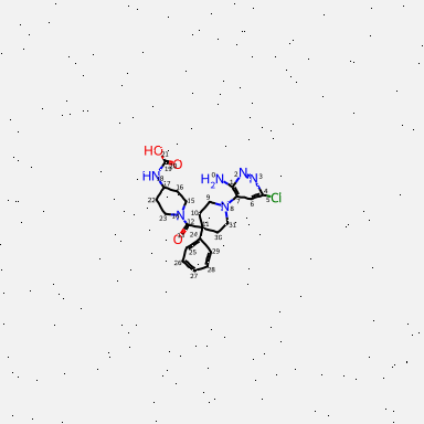 Nc1nnc(Cl)cc1N1CCC(C(=O)N2CCC(NC(=O)O)CC2)(c2ccccc2)CC1